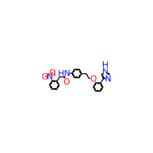 O=C(Cc1ccccc1[N+](=O)[O-])Nc1ccc(CCOc2ccccc2-c2c[nH]cn2)cc1